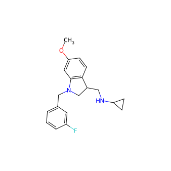 COc1ccc2c(c1)N(Cc1cccc(F)c1)CC2CNC1CC1